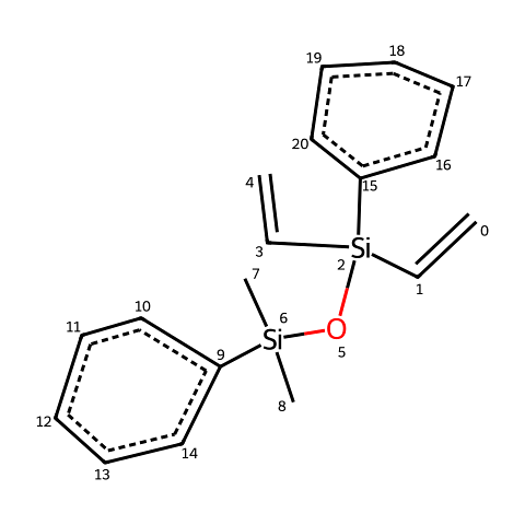 C=C[Si](C=C)(O[Si](C)(C)c1ccccc1)c1ccccc1